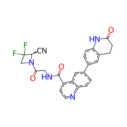 N#C[C@H]1N(C(=O)CNC(=O)c2ccnc3ccc(-c4ccc5c(c4)CCC(=O)N5)cc23)CC1(F)F